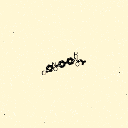 CC(C)CC(=O)Nc1ccc(-c2ccc(-c3nc4ccc(Cl)cc4o3)cc2)cc1